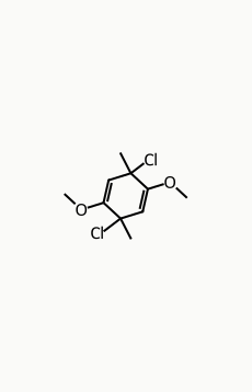 COC1=CC(C)(Cl)C(OC)=CC1(C)Cl